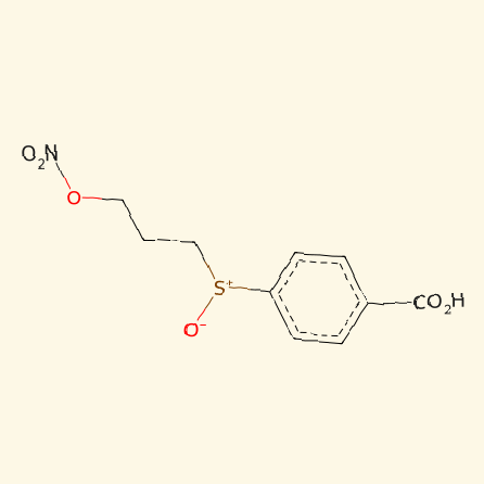 O=C(O)c1ccc([S+]([O-])CCCO[N+](=O)[O-])cc1